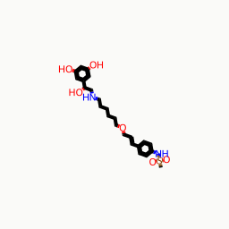 CS(=O)(=O)Nc1ccc(C=CCOCCCCCCNCC(O)c2cc(O)cc(O)c2)cc1